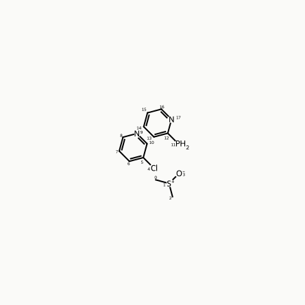 C[S+](C)[O-].Clc1cccnc1.Pc1ccccn1